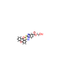 O=C(OCCO)c1ccc2[nH]c(SC(=S)OC3c4ccccc4Oc4ccccc43)nc2c1